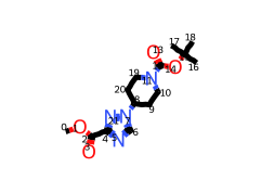 COC(=O)c1ncn(C2CCN(C(=O)OC(C)(C)C)CC2)n1